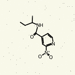 CCC(C)NC(=O)c1ccnc([N+](=O)[O-])c1